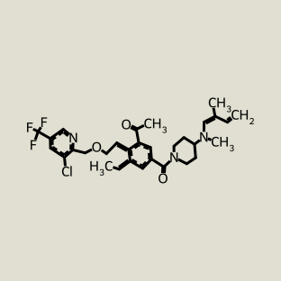 C=C/C(C)=C\N(C)C1CCN(C(=O)c2cc(C(C)=O)c(=C/COCc3ncc(C(F)(F)F)cc3Cl)/c(=C\C)c2)CC1